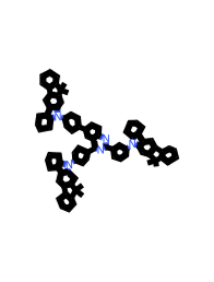 CC1(C)c2ccccc2-c2cc3c4ccccc4n(-c4ccc(-c5ccc6nc(-c7cccc(-n8c9ccccc9c9cc%10c(cc98)C(C)(C)c8ccccc8-%10)c7)nc(-c7ccc(-n8c9ccccc9c9cc%10c(cc98)C(C)(C)c8ccccc8-%10)cc7)c6c5)cc4)c3cc21